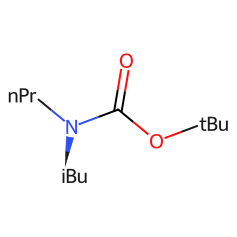 CCCN(C(=O)OC(C)(C)C)[C@H](C)CC